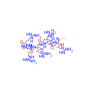 N=C(N)NCCC[C@@H](NC(=O)[C@@H](CCCNC(=N)N)NC(=O)[C@@H](CCCNC(=N)N)NC(=O)CNC(=O)[C@@H](CCCNC(=N)N)NC(=O)CNC(=O)[C@@H](CCCNC(=N)N)NC(=O)[C@@H](N)CS)C(N)=O